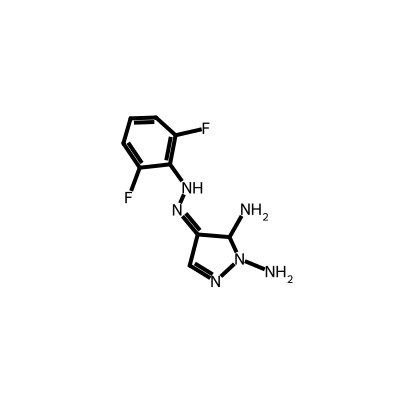 NC1C(=NNc2c(F)cccc2F)C=NN1N